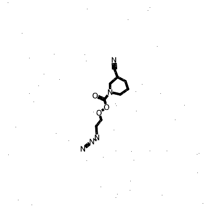 N#CC1CCCN(C(=O)OOCCN=[N+]=[N-])C1